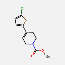 CC(C)(C)OC(=O)N1CC=C(c2ccc(Cl)s2)CC1